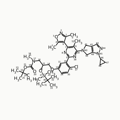 Cc1noc(C)c1-c1nc(-c2cc(OCC(CN(C)C(=O)OC(C)(C)C)O[Si](C)(C)C(C)(C)C)ccc2Cl)nc(N2Cc3cnn(C4CC4)c3C2)c1C